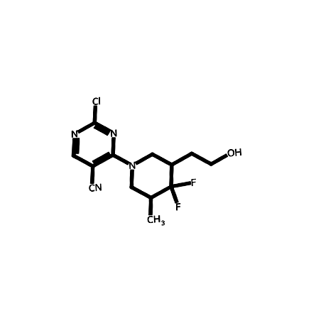 CC1CN(c2nc(Cl)ncc2C#N)CC(CCO)C1(F)F